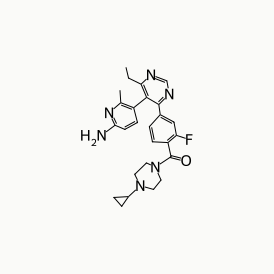 CCc1ncnc(-c2ccc(C(=O)N3CCN(C4CC4)CC3)c(F)c2)c1-c1ccc(N)nc1C